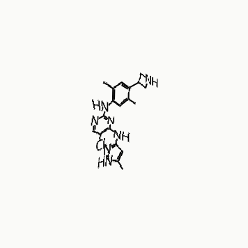 Cc1cc(Nc2nc(Nc3cc(C)c(C4CNC4)cc3C)ncc2Cl)n[nH]1